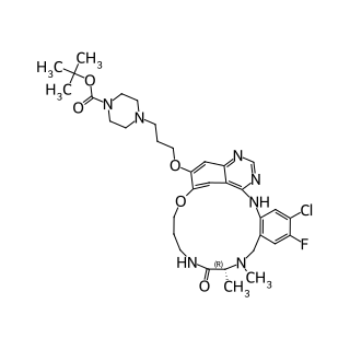 C[C@@H]1C(=O)NCCCOc2cc3c(ncnc3cc2OCCCN2CCN(C(=O)OC(C)(C)C)CC2)Nc2cc(Cl)c(F)cc2CN1C